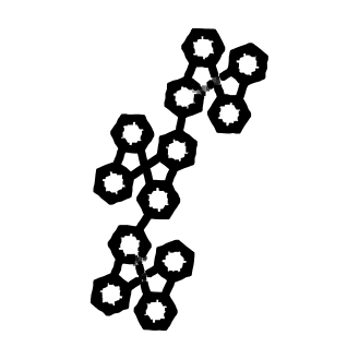 c1ccc2c(c1)-c1ccccc1[B-]21c2ccccc2-c2ccc(-c3ccc4c(c3)C3(c5ccccc5-c5ccccc53)c3cc(-c5ccc6[n+](c5)[B-]5(c7ccccc7-c7ccccc75)c5ccccc5-6)ccc3-4)c[n+]21